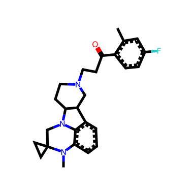 Cc1cc(F)ccc1C(=O)CCN1CCC2C(C1)c1cccc3c1N2CC1(CC1)N3C